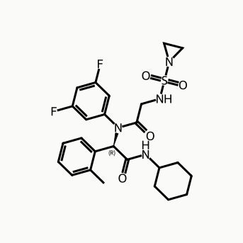 Cc1ccccc1[C@H](C(=O)NC1CCCCC1)N(C(=O)CNS(=O)(=O)N1CC1)c1cc(F)cc(F)c1